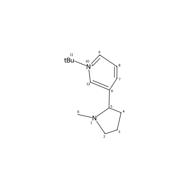 CN1CCCC1c1ccc[n+](C(C)(C)C)c1